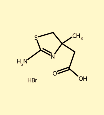 Br.CC1(CC(=O)O)CSC(N)=N1